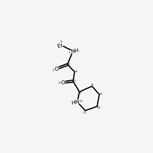 CCNC(=O)CC(=O)C1CCCCN1